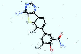 COc1cc(C2=CC=C3c4ncnc(N)c4SC3C2C)cc(C(N)=O)c1O